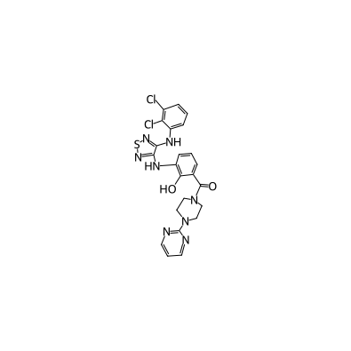 O=C(c1cccc(Nc2nsnc2Nc2cccc(Cl)c2Cl)c1O)N1CCN(c2ncccn2)CC1